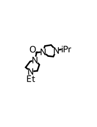 CCN1CCN(C(=O)N2CCN(C(C)C)CC2)CC1